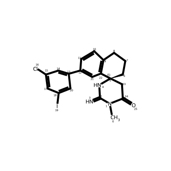 CN1C(=N)N[C@@]2(CCCc3ccc(-c4cc(Cl)cc(I)c4)cc32)CC1=O